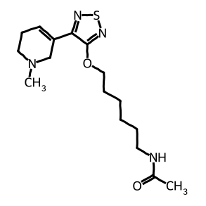 CC(=O)NCCCCCCOc1nsnc1C1=CCCN(C)C1